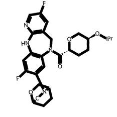 CC(C)O[C@H]1CC[C@H](C(=O)N2Cc3cc(F)cnc3Nc3cc(F)c(N4CC5CCC4CO5)cc32)OC1